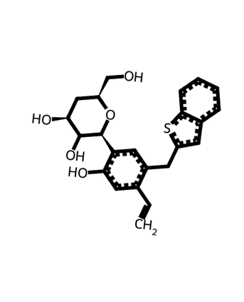 C=Cc1cc(O)c([C@@H]2O[C@H](CO)C[C@H](O)C2O)cc1Cc1cc2ccccc2s1